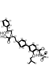 CC(C)COc1cc(-c2ccc(CCN(C[C@@H](O)c3ccccc3)C(=O)O)cc2)ccc1C(=O)NS(C)(=O)=O